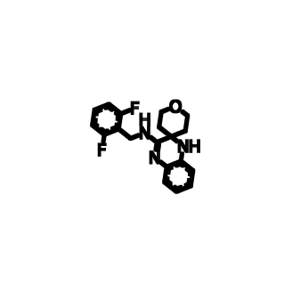 Fc1cccc(F)c1CNC1=Nc2ccccc2NC12CCOCC2